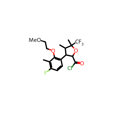 COCCOc1c(C2C(C(=O)Cl)OC(C)(C(F)(F)F)C2C)ccc(F)c1C